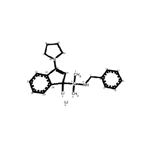 [Li].[Li][C]1([Si](C)(C)NCc2ccccc2)C=C(N2CCCC2)c2ccccc21